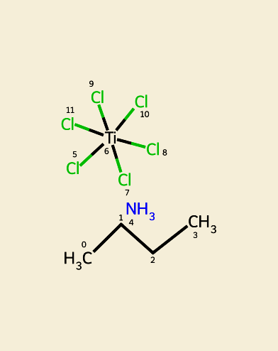 CCCC.N.[Cl][Ti]([Cl])([Cl])([Cl])([Cl])[Cl]